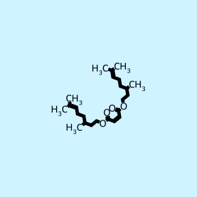 CC(C)=CCCC(C)CCOC(=O)/C=C\C(=O)OCCC(C)CCC=C(C)C